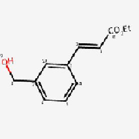 CCOC(=O)C=Cc1cccc(CO)c1